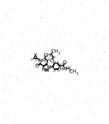 CCCOc1cc(C(=O)NCC)ccc1-n1nnc(C(=O)NC2CC2)c1CCC